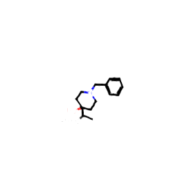 CCOC(=O)C(C)C1(O)CCN(Cc2ccccc2)CC1